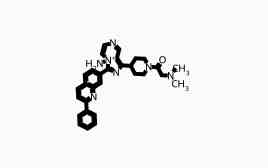 CN(C)CC(=O)N1CCC(C2=C3C=NC=C[N+]3(N)C(c3ccc4ccc(-c5ccccc5)nc4c3)=N2)CC1